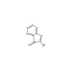 N#CC1=Cc2ccccc2C1=O